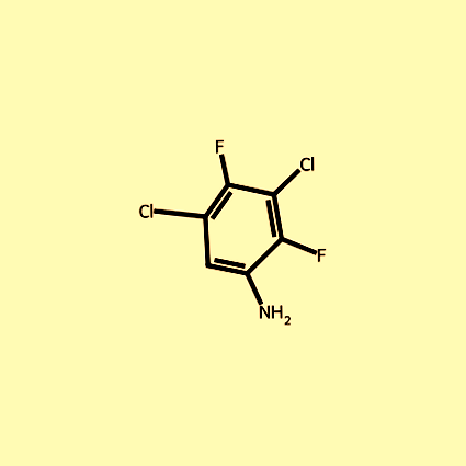 Nc1cc(Cl)c(F)c(Cl)c1F